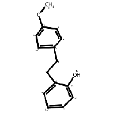 COc1ccc(CCc2ccccc2O)cc1